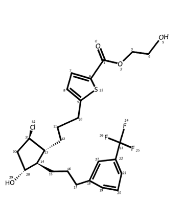 O=C(OCCO)c1ccc(CCC[C@@H]2[C@@H](CCCc3cccc(C(F)(F)F)c3)[C@H](O)C[C@H]2Cl)s1